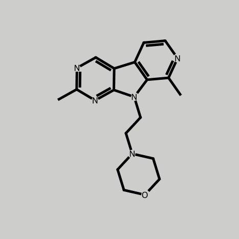 Cc1ncc2c3ccnc(C)c3n(CCN3CCOCC3)c2n1